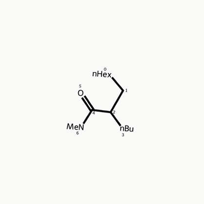 CCCCCCCC(CCCC)C(=O)NC